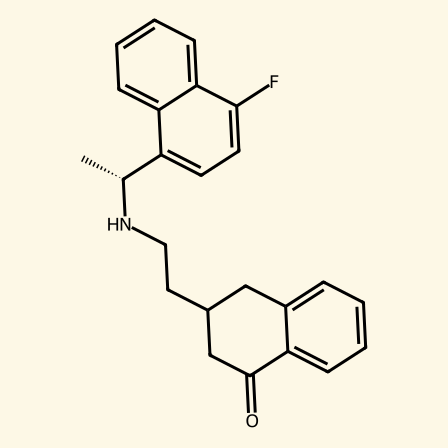 C[C@@H](NCCC1CC(=O)c2ccccc2C1)c1ccc(F)c2ccccc12